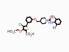 CCc1cccc(CC)c1NC(=O)N1CCC(COc2cccc(-c3sc(C(=O)O)c(OCC(=O)O)c3Cl)c2)CC1